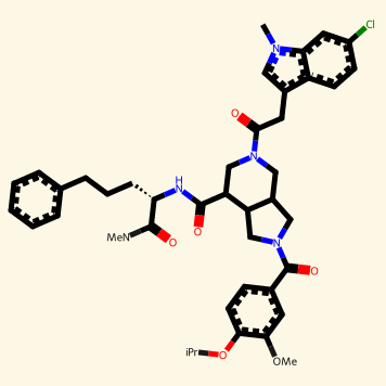 CNC(=O)[C@H](CCCc1ccccc1)NC(=O)C1CN(C(=O)Cc2cn(C)c3cc(Cl)ccc23)CC2CN(C(=O)c3ccc(OC(C)C)c(OC)c3)CC21